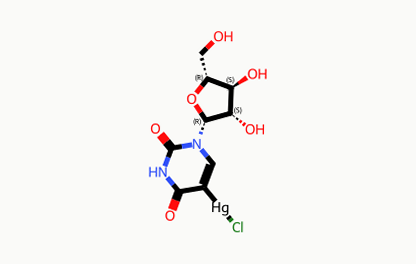 O=c1[nH]c(=O)n([C@@H]2O[C@H](CO)[C@@H](O)[C@@H]2O)c[c]1[Hg][Cl]